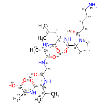 CC(C)C[C@H](NC(=O)[C@@H]1CCCN1C(=O)CCCCN)C(=O)N[C@@H](C)C(=O)NCC(=O)N[C@H](C(=O)N[C@@H](C)C(=O)O)C(C)C